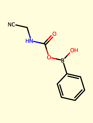 N#CCNC(=O)OB(O)c1ccccc1